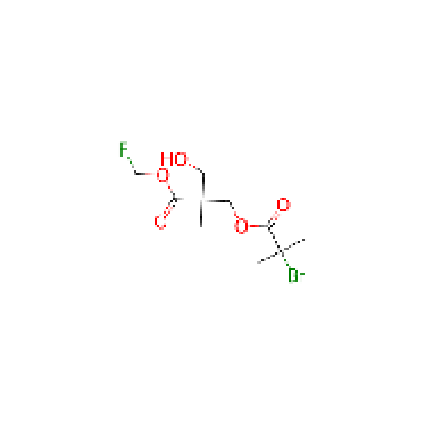 CC(C)(Br)C(=O)OCC(C)(CO)C(=O)OCF